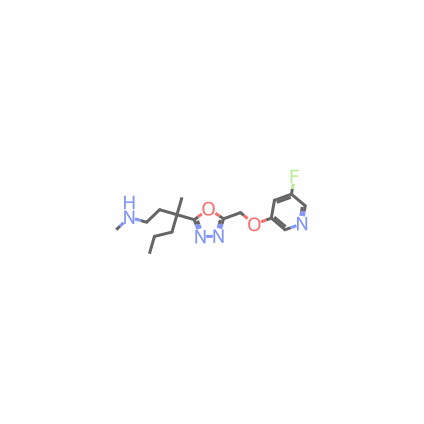 CCCC(C)(CCNC)c1nnc(COc2cncc(F)c2)o1